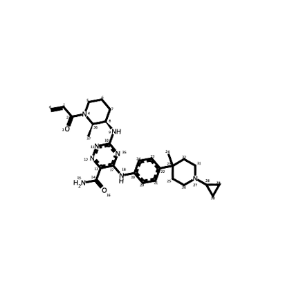 C=CC(=O)N1CCC[C@@H](Nc2nnc(C(N)=O)c(Nc3ccc(C4(C)CCN(C5CC5)CC4)cc3)n2)[C@H]1C